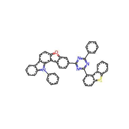 c1ccc(-c2nc(-c3ccc4c(c3)oc3ccc5c6ccccc6n(-c6ccccc6)c5c34)nc(-c3cccc4sc5ccccc5c34)n2)cc1